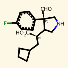 O=C[C@@]1(c2ccc(F)cc2)CNCC1[C@@H](CC1CCC1)C(=O)O